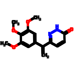 C=C(c1cc(OC)c(OC)c(OC)c1)c1ccc(=O)[nH]n1